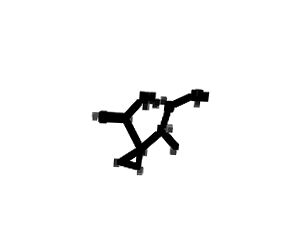 CN(OC(C)(C)C)C1(C(N)=O)CC1